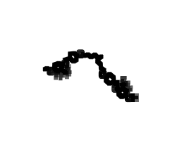 CCOc1ccc(OCC2CCC(OCCCCC(C)CCCCOC3CCC(COc4ccc(O)c(F)c4C(F)(F)F)CC3)CC2)c(C(F)(F)F)c1F